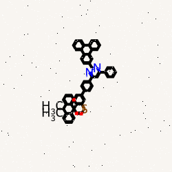 CC1(C)c2ccccc2C2(c3ccccc3Sc3cc(-c4ccc(-c5cc(-c6ccccc6)nc(-c6ccc7c8ccccc8c8ccccc8c7c6)n5)cc4)ccc32)c2ccccc21